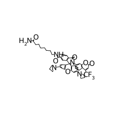 NC(=O)CCCCCCCNC(=O)c1ccc2c(c1)C1(c3ccc(N4CCC4)cc3Oc3cc(N4CCC4)ccc31)N(c1ccc3c(C(F)(F)F)cc(=O)oc3c1)C2=O